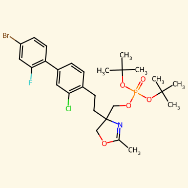 CC1=NC(CCc2ccc(-c3ccc(Br)cc3F)cc2Cl)(COP(=O)(OC(C)(C)C)OC(C)(C)C)CO1